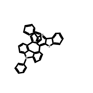 c1ccc(-c2nc(-c3cccc4c3c3c(-c5ccccc5)cccc3n4-c3ccccc3)c3sc4ccccc4c3n2)cc1